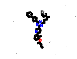 C=C/C=C(\C)Oc1cccc(-c2ccc(-c3nc(/C=C/CC(C)C(=C)/C=C\CC)nc(-c4ccc(-c5ccccc5)cc4)n3)cn2)c1C